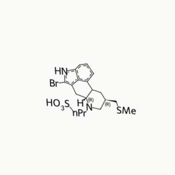 CCCN1C[C@H](CSC)CC2c3cccc4[nH]c(Br)c(c34)C[C@H]21.CS(=O)(=O)O